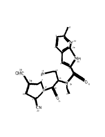 Cc1ccc2cc(C(=O)N(C)C(CC(C)C)C(=O)N3CC(C=O)CC3C#N)[nH]c2n1